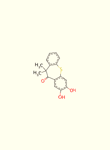 CC1(C)C(=O)c2cc(O)c(O)cc2Sc2ccccc21